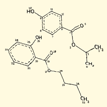 CC(C)OC(=O)c1ccc(O)cc1.CCCCOC(=O)c1ccccc1O